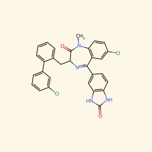 CN1C(=O)C(Cc2ccccc2-c2cccc(Cl)c2)N=C(c2ccc3[nH]c(=O)[nH]c3c2)c2cc(Cl)ccc21